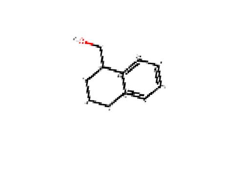 [O]CC1CCCc2ccccc21